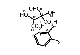 Cc1ccccc1C.O=CC(O)(C(=O)O)C(O)C(=O)O